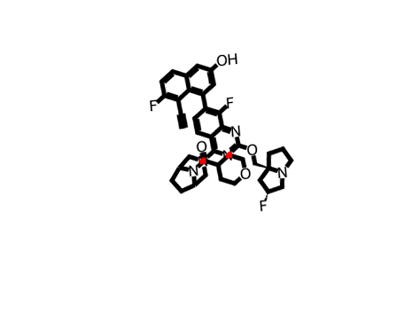 C#Cc1c(F)ccc2cc(O)cc(-c3ccc4c(N5CC6CCC(C5)N6C(=O)C5CCOCC5)nc(OC[C@@]56CCCN5C[C@H](F)C6)nc4c3F)c12